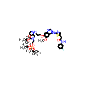 COc1cc2c(cc1OCCC[C@]1(CN(CCOP(=O)(OC(C)(C)C)OC(C)(C)C)C(=O)OC(C)(C)C)CCCN1)N=CN1C2N1c1ncc(CC(=O)Nc2cccc(F)c2)s1